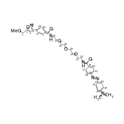 COCc1cc(-c2ccc(C(=O)NCCOCCOCCOCCNC(=O)c3ccc(/N=N/c4ccc(N(C)C)cc4)cc3)cc2)no1